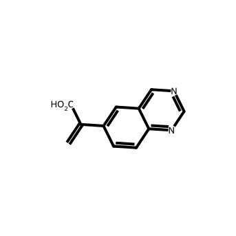 C=C(C(=O)O)c1ccc2ncncc2c1